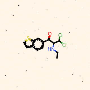 CCNC(C(=O)c1ccc2ccsc2c1)C(Cl)Cl